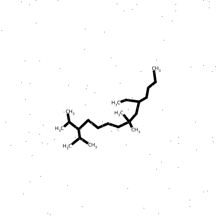 CCCCC([CH]C(C)(C)CCCCC(C(C)C)C(C)C)CC